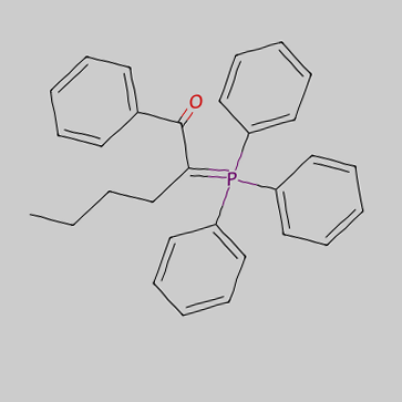 CCCCC(C(=O)c1ccccc1)=P(c1ccccc1)(c1ccccc1)c1ccccc1